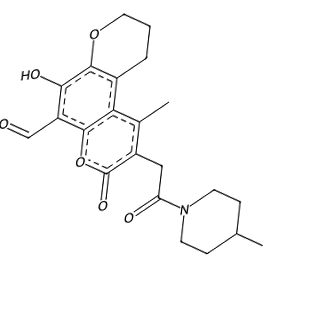 Cc1c(CC(=O)N2CCC(C)CC2)c(=O)oc2c(C=O)c(O)c3c(c12)CCCO3